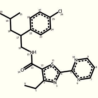 CCc1nc(-c2ncccn2)sc1C(=O)NCC(CC(C)C)c1ccc(Cl)cc1